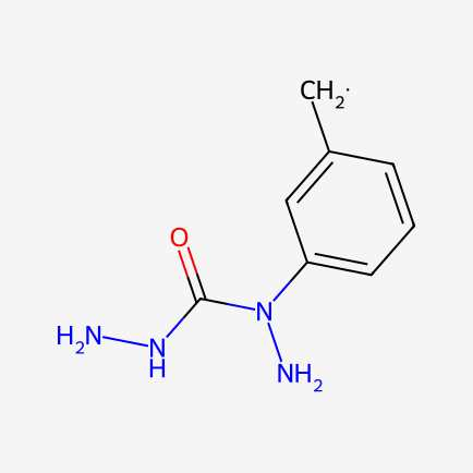 [CH2]c1cccc(N(N)C(=O)NN)c1